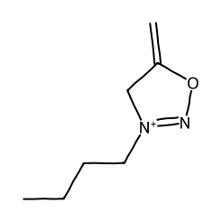 C=C1C[N+](CCCC)=NO1